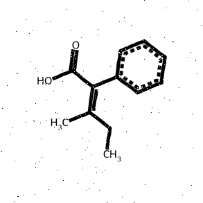 CC/C(C)=C(/C(=O)O)c1ccccc1